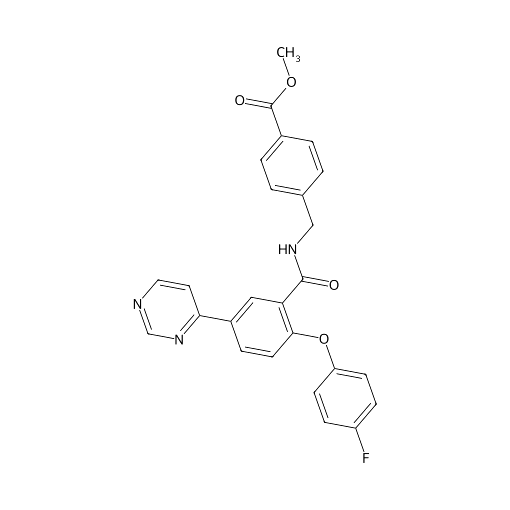 COC(=O)c1ccc(CNC(=O)c2cc(-c3ccncn3)ccc2Oc2ccc(F)cc2)cc1